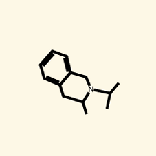 CC(C)N1Cc2ccccc2CC1C